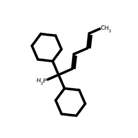 CC=CC=CC(P)(C1CCCCC1)C1CCCCC1